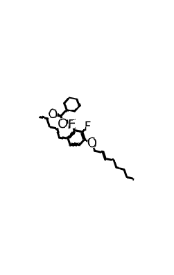 CCCCCCCCOc1ccc(CC(CCC)OC(=O)C2CCCCC2)c(F)c1F